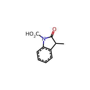 CC1C(=O)N(C(=O)O)c2ccccc21